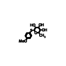 COc1ccc(S[C@@H]2O[C@H](C)[C@H](O)[C@H](O)[C@H]2O)cc1